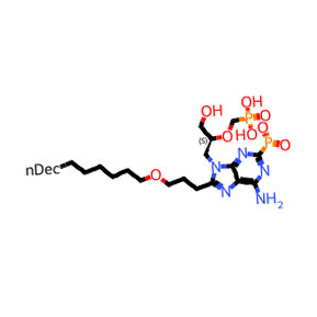 CCCCCCCCCCCCCCCCOCCCc1nc2c(N)nc(P(=O)=O)nc2n1C[C@@H](CO)OCP(=O)(O)O